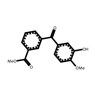 COC(=O)c1cccc(C(=O)c2ccc(OC)c(O)c2)c1